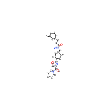 Cc1cccc(CCC(=O)NCc2ccc(-c3nc(C(=O)N4CCCCC4)co3)cc2)c1